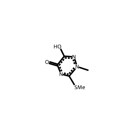 CSc1nc(=O)c(O)nn1C